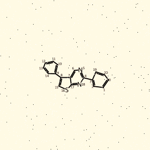 c1ccc(-c2ncc3c(-c4ccccc4)csc3n2)cc1